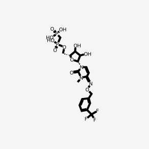 Cn1c(=O)n([C@@H]2O[C@H](COP(=O)(O)CP(=O)(O)O)C(O)C2O)cc/c1=N/OCc1cccc(C(F)(F)F)c1